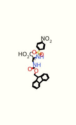 O=C(NC[C@H](NS(=O)(=O)c1ccc([N+](=O)[O-])cc1)C(=O)O)OCC1c2ccccc2-c2ccccc21